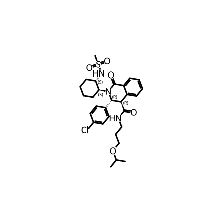 CC(C)OCCCNC(=O)[C@@H]1c2ccccc2C(=O)N([C@H]2CCCC[C@@H]2NS(C)(=O)=O)[C@H]1c1ccc(Cl)cc1